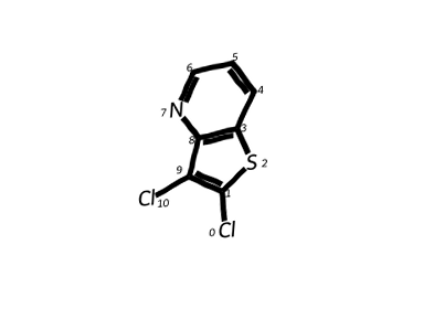 Clc1sc2[c]ccnc2c1Cl